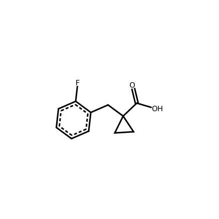 O=C(O)C1(Cc2ccccc2F)CC1